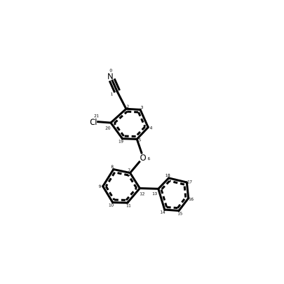 N#Cc1ccc(Oc2ccccc2-c2ccccc2)cc1Cl